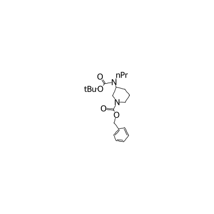 CCCN(C(=O)OC(C)(C)C)C1CCCN(C(=O)OCc2ccccc2)C1